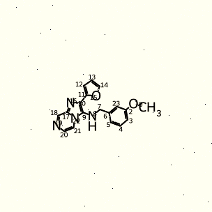 COc1cccc(CNc2c(-c3ccco3)nc3cnccn23)c1